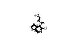 CN(CCO)c1c(Cl)ncc2sccc12